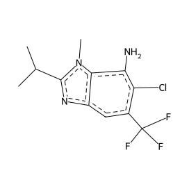 CC(C)c1nc2cc(C(F)(F)F)c(Cl)c(N)c2n1C